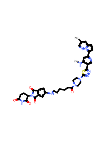 CC(C)Nc1cc(-c2ccc3cc(C#N)cnn23)ncc1-c1nnc(N2CCN(C(=O)CCCCCNc3ccc4c(c3)C(=O)N(C3CCC(=O)NC3=O)C4=O)CC2)s1